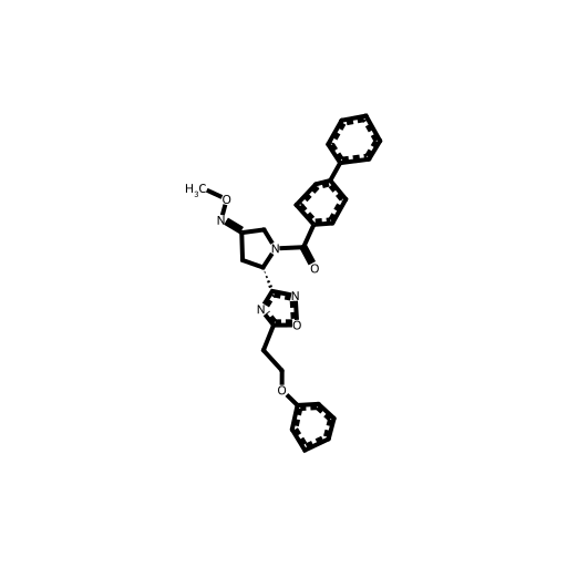 CON=C1C[C@@H](c2noc(CCOc3ccccc3)n2)N(C(=O)c2ccc(-c3ccccc3)cc2)C1